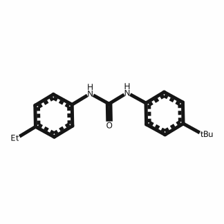 CCc1ccc(NC(=O)Nc2ccc(C(C)(C)C)cc2)cc1